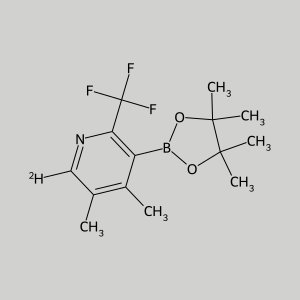 [2H]c1nc(C(F)(F)F)c(B2OC(C)(C)C(C)(C)O2)c(C)c1C